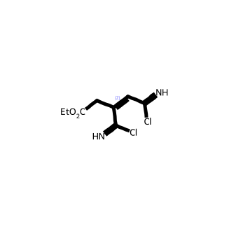 CCOC(=O)C/C(=C/C(=N)Cl)C(=N)Cl